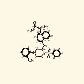 N#Cc1ccccc1N1CCN(S(=O)(=O)c2ccccc2)C(Cc2cccc3ccccc23)C1.NC(=O)NC=O